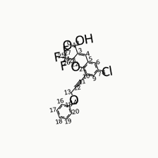 O=C(O)C1=Cc2cc(Cl)cc(C#CCOc3ccccc3)c2OC1C(F)(F)F